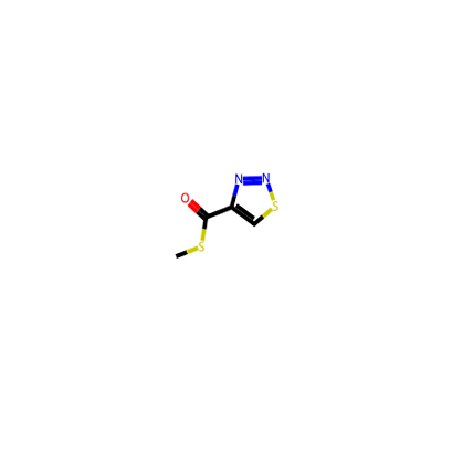 CSC(=O)c1csnn1